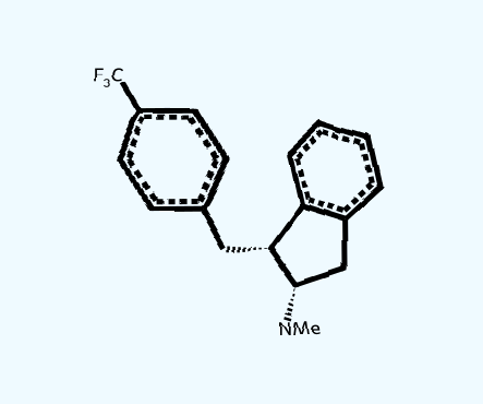 CN[C@H]1Cc2ccccc2[C@H]1Cc1ccc(C(F)(F)F)cc1